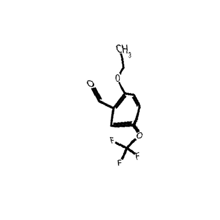 CCOc1ccc(OC(F)(F)F)cc1C=O